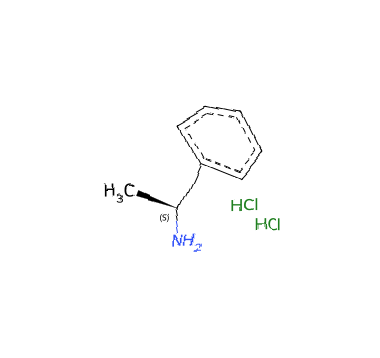 C[C@H](N)c1ccccc1.Cl.Cl